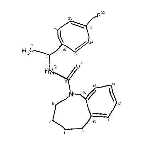 CC(NC(=O)N1CCCCc2ccccc21)c1ccc(F)cc1